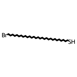 SCCCCCCCCCCCCCCCCCCCCCCCCCCCCCBr